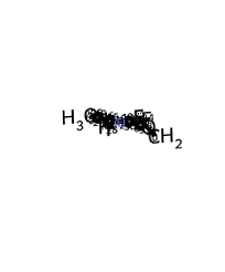 C=CCOc1ccc(-c2ccc(/C=C/c3ccc(C4CCC(C)CC4)c(F)c3F)cc2)c(F)c1F